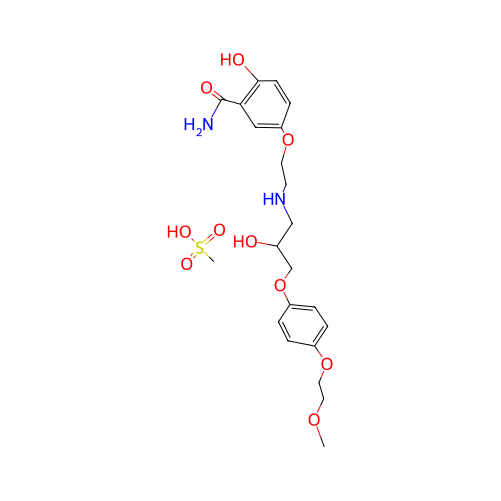 COCCOc1ccc(OCC(O)CNCCOc2ccc(O)c(C(N)=O)c2)cc1.CS(=O)(=O)O